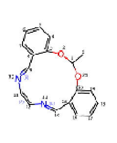 CC1Oc2ccccc2/C=N/C=C\N=C\c2ccccc2O1